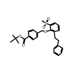 CC(C)(C)OC(=O)c1ccc(COc2c(CCc3ccccc3)cccc2S(C)(=O)=O)cc1